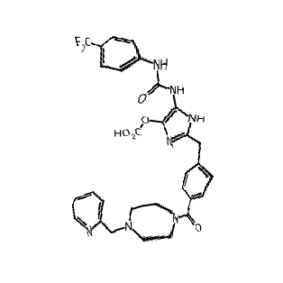 O=C(Nc1ccc(C(F)(F)F)cc1)Nc1[nH]c(Cc2ccc(C(=O)N3CCN(Cc4ccccn4)CC3)cc2)nc1OC(=O)O